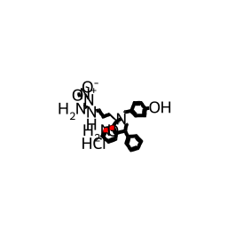 Cl.NC(=O)[C@@H](CCCNC(N)=N[N+](=O)[O-])N(Cc1ccc(O)cc1)CC(c1ccccc1)c1ccccc1